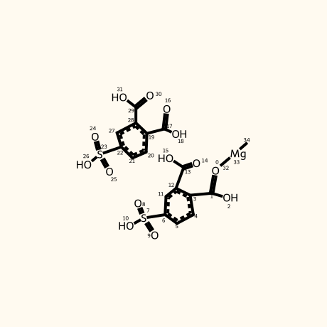 O=C(O)c1ccc(S(=O)(=O)O)cc1C(=O)O.O=C(O)c1ccc(S(=O)(=O)O)cc1C(=O)O.[CH3][Mg][CH3]